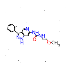 COCCNC(=O)Nc1cc2[nH]nc(-c3ccccc3)c2cn1